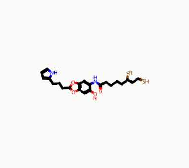 O=C(CCCCC(S)CCS)Nc1cc2c(cc1O)OC(CCCc1ccc[nH]1)O2